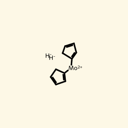 C1=CC[C]([Mo+2][C]2=CC=CC2)=C1.[H-].[H-]